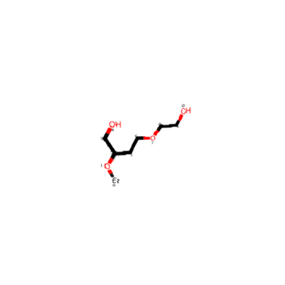 CCOC(CO)CCOCCO